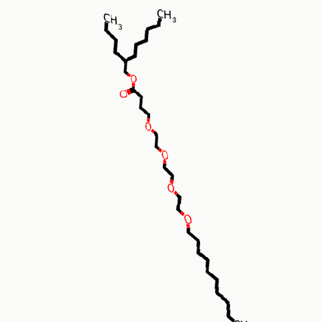 CCCCCCCCCCOCCOCCOCCOCCCC(=O)OCC(CCCC)CCCCCC